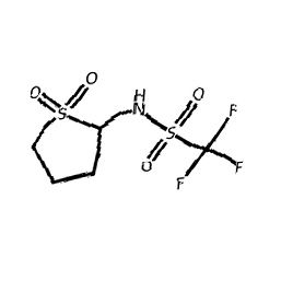 O=S1(=O)CCCC1NS(=O)(=O)C(F)(F)F